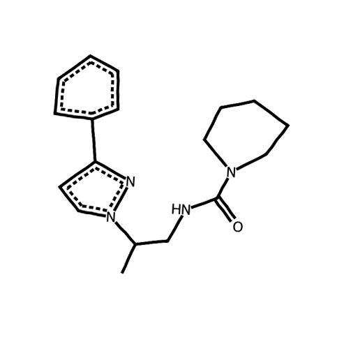 CC(CNC(=O)N1CCCCC1)n1ccc(-c2ccccc2)n1